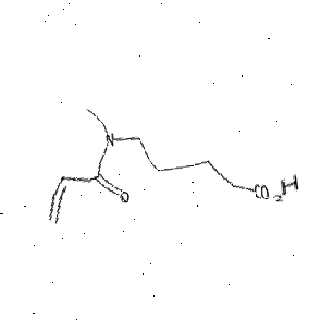 C=CC(=O)N(C)CCCCC(=O)O